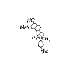 CSc1cc2c(cc1O)CCC1C2CC[C@@]2(C)C1CC[C@]2(C)Oc1ccc(C(C)(C)C)cc1